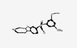 CCCCOc1cc(OC)cc(S(=O)(=O)c2ccc3c(c2)OC2CNCCC32)c1